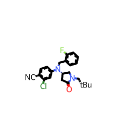 CC(C)(C)CN1C[C@@H](N(Cc2ccccc2F)c2ccc(C#N)c(Cl)c2)CC1=O